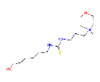 C[N+]1(CCCNC(=S)NCCCCCCO)CCOCC1